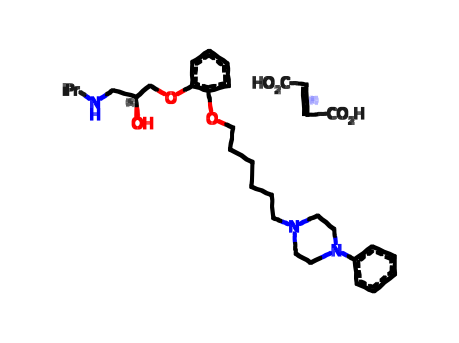 CC(C)NC[C@H](O)COc1ccccc1OCCCCCCN1CCN(c2ccccc2)CC1.O=C(O)/C=C/C(=O)O